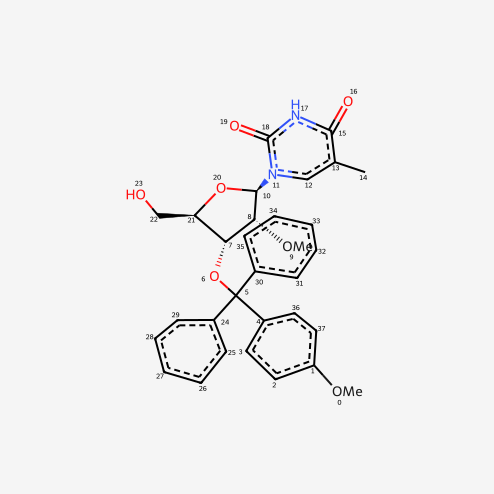 COc1ccc(C(O[C@H]2[C@@H](OC)[C@H](n3cc(C)c(=O)[nH]c3=O)O[C@@H]2CO)(c2ccccc2)c2ccccc2)cc1